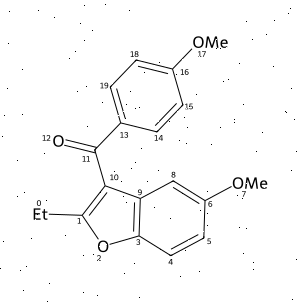 CCc1oc2ccc(OC)cc2c1C(=O)c1ccc(OC)cc1